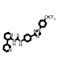 FC(F)(F)Oc1ccc(-n2cnc(-c3ccc(NC(=S)Nc4ncccc4-c4cccnc4)cc3)n2)cc1